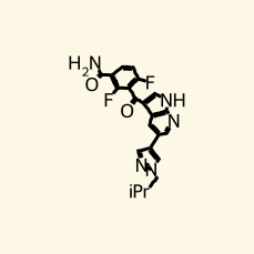 CC(C)Cn1cc(-c2cnc3[nH]cc(C(=O)c4c(F)ccc(C(N)=O)c4F)c3c2)cn1